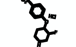 Cl.O=[N+]([O-])c1ccc(OC2CCNCC2F)cc1